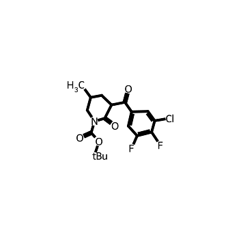 CC1CC(C(=O)c2cc(F)c(F)c(Cl)c2)C(=O)N(C(=O)OC(C)(C)C)C1